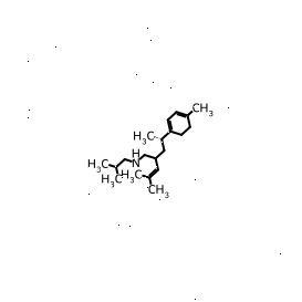 CC(C)=CC(CNCC(C)C)C[C@H](C)C1=CC=C(C)CC1